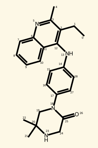 CCc1c(C)nc2ccccc2c1Nc1ccc(N2CC(C)(C)NCC2=O)cc1